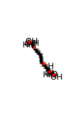 O=C(O)NNC(=O)CCCCCCCCC#CC#CCCCCCCCCC(=O)NNC(=O)O